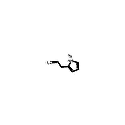 C=CCc1ccc[nH]1.[Ru]